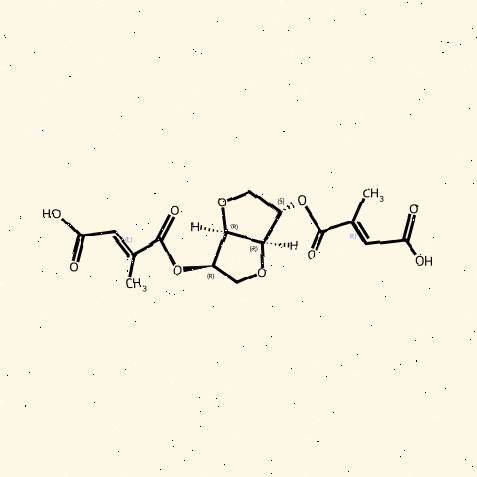 C/C(=C\C(=O)O)C(=O)O[C@H]1CO[C@H]2[C@@H]1OC[C@H]2OC(=O)/C(C)=C/C(=O)O